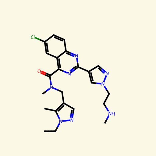 CCn1ncc(CN(C)C(=O)c2nc(-c3cnn(CCNC)c3)nc3ccc(Cl)cc23)c1C